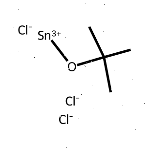 CC(C)(C)[O][Sn+3].[Cl-].[Cl-].[Cl-]